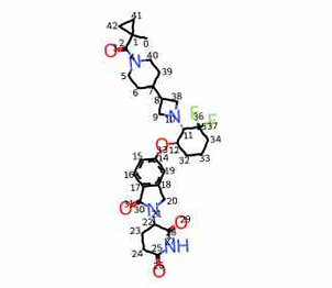 CC1(C(=O)N2CCC(C3CN([C@H]4[C@H](Oc5ccc6c(c5)CN(C5CCC(=O)NC5=O)C6=O)CCCC4(F)F)C3)CC2)CC1